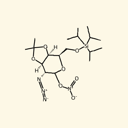 CC(C)[Si](OC[C@H]1OC(O[N+](=O)[O-])[C@H](N=[N+]=[N-])[C@H]2OC(C)(C)O[C@H]21)(C(C)C)C(C)C